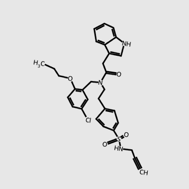 C#CCNS(=O)(=O)c1ccc(CCN(Cc2cc(Cl)ccc2OCCC)C(=O)Cc2c[nH]c3ccccc23)cc1